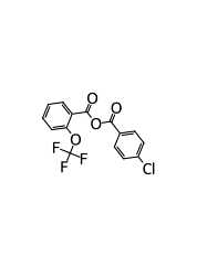 O=C(OC(=O)c1ccccc1OC(F)(F)F)c1ccc(Cl)cc1